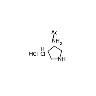 C1CCNC1.CC(N)=O.Cl.Cl